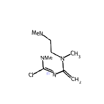 C=C(/N=C(/Cl)NC)N(C)CCNC